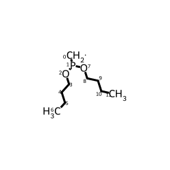 [CH2]P(OCCCC)OCCCC